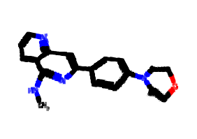 CNc1nc(-c2ccc(N3CCOCC3)cc2)cc2ncccc12